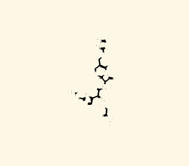 CC(C)(C)OC(=O)CON=C(C(=O)NC1C(=O)N2C(C(=O)O)=C(CSc3nncs3)CS[C@@H]12)c1csc(NC=O)n1